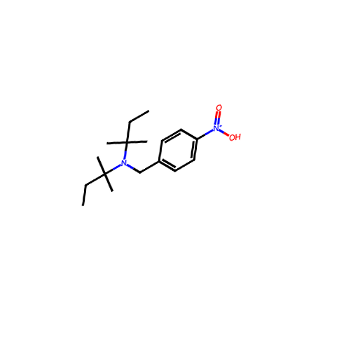 CCC(C)(C)N(Cc1ccc([N+](=O)O)cc1)C(C)(C)CC